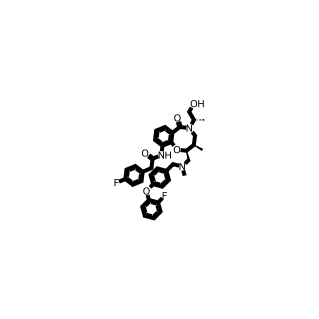 C[C@@H]1CN([C@@H](C)CO)C(=O)c2cccc(NC(=O)Cc3ccc(F)cc3)c2O[C@@H]1CN(C)Cc1ccc(Oc2ccccc2F)cc1